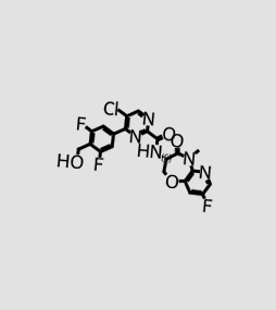 CN1C(=O)[C@@H](NC(=O)c2ncc(Cl)c(-c3cc(F)c(CO)c(F)c3)n2)COc2cc(F)cnc21